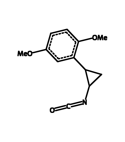 COc1ccc(OC)c(C2CC2N=C=O)c1